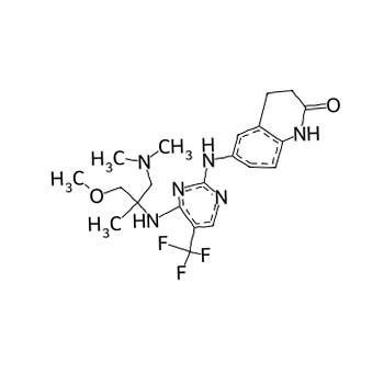 COCC(C)(CN(C)C)Nc1nc(Nc2ccc3c(c2)CCC(=O)N3)ncc1C(F)(F)F